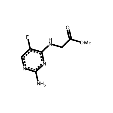 COC(=O)CNc1nc(N)ncc1F